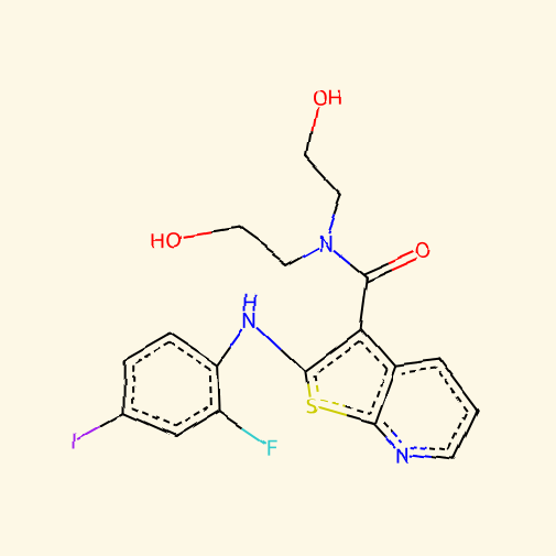 O=C(c1c(Nc2ccc(I)cc2F)sc2ncccc12)N(CCO)CCO